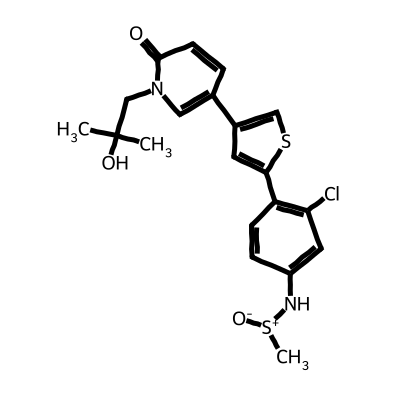 C[S+]([O-])Nc1ccc(-c2cc(-c3ccc(=O)n(CC(C)(C)O)c3)cs2)c(Cl)c1